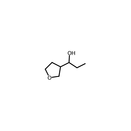 CCC(O)C1CCOC1